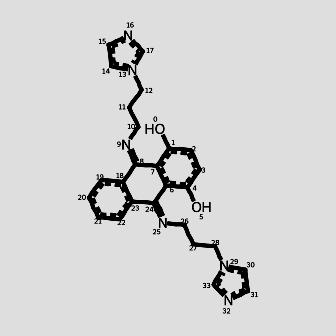 Oc1ccc(O)c2c1/C(=N\CCCn1ccnc1)c1ccccc1/C2=N/CCCn1ccnc1